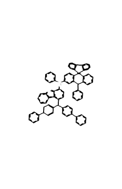 C1=CC(c2ccccc2)CC=C1C(c1ccc(-c2ccccc2)cc1)c1ccc(N(c2ccccc2)c2ccc3c(c2)C(c2ccccc2)c2ccccc2C32c3ccccc3-c3ccccc32)c2sc3ccccc3c12